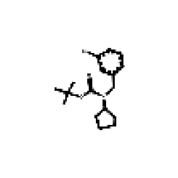 CC(C)(C)OC(=O)N(Cc1cccc(O)c1)C1CCCC1